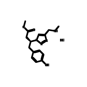 CNCc1cn([C@H](CC(=O)OC)Cc2ccc(O)cc2)nn1.Cl